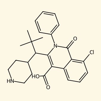 CC(C)(C)C(c1c(C(=O)O)c2cccc(Cl)c2c(=O)n1-c1ccccc1)C1CCNCC1